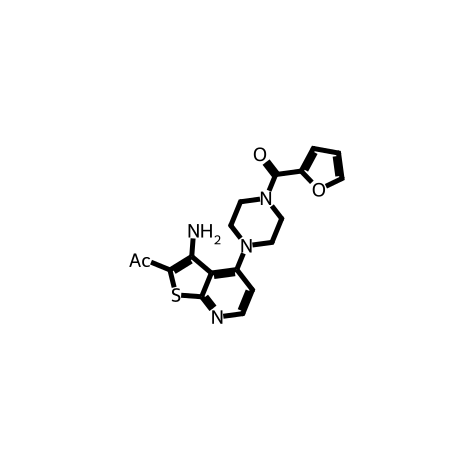 CC(=O)c1sc2nccc(N3CCN(C(=O)c4ccco4)CC3)c2c1N